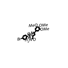 COc1cc(-c2cc(C(N)=O)n(S(=O)(=O)c3ccc(Br)cc3)n2)cc(OC)c1OC